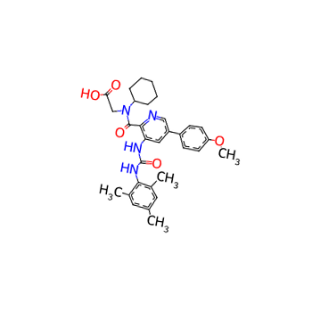 COc1ccc(-c2cnc(C(=O)N(CC(=O)O)C3CCCCC3)c(NC(=O)Nc3c(C)cc(C)cc3C)c2)cc1